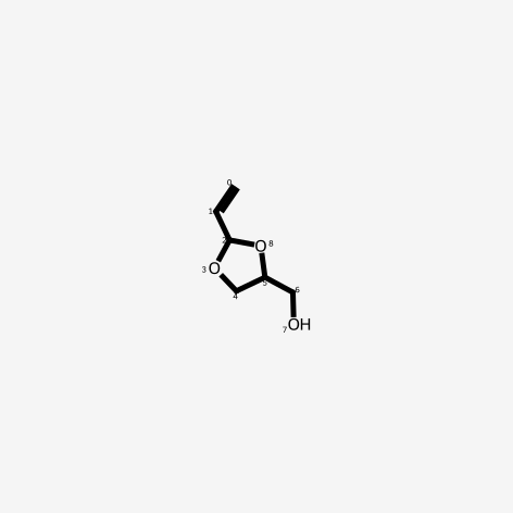 C=CC1OCC(CO)O1